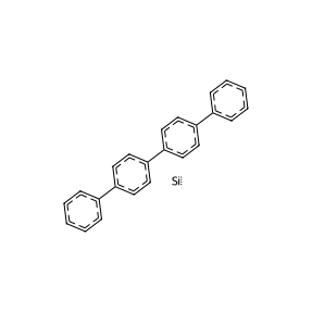 [Si].c1ccc(-c2ccc(-c3ccc(-c4ccccc4)cc3)cc2)cc1